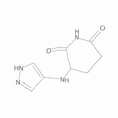 O=C1CCC(Nc2cn[nH]c2)C(=O)N1